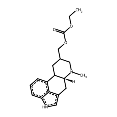 CCOC(=O)OCC1CC2c3cccc4[nH]cc(c34)C[C@H]2N(C)C1